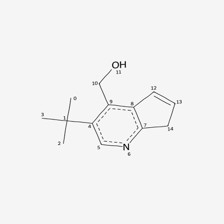 CC(C)(C)c1cnc2c(c1CO)C=CC2